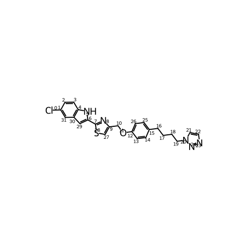 Clc1ccc2[nH]c(-c3nc(COc4ccc(CCCCn5ccnn5)cc4)cs3)cc2c1